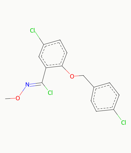 CON=C(Cl)c1cc(Cl)ccc1OCc1ccc(Cl)cc1